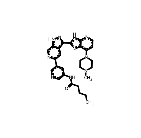 CCCCC(=O)Nc1cncc(-c2cc3c(-c4nc5c(N6CCN(C)CC6)ccnc5[nH]4)n[nH]c3cn2)c1